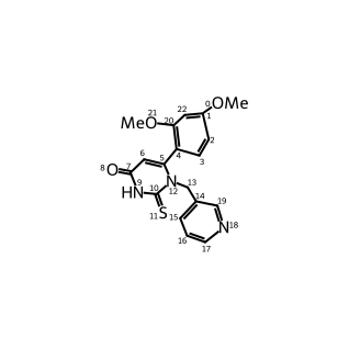 COc1ccc(-c2cc(=O)[nH]c(=S)n2Cc2cccnc2)c(OC)c1